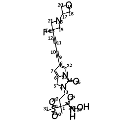 CC(CCN1Cc2cc(C#CC#CC3(F)CN(C4COC4)C3)cn2C1=O)(C(=O)NO)S(C)(=O)=O